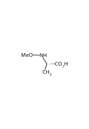 CON[C@@H](C)C(=O)O